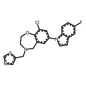 Fc1ccc2c(ccn2-c2cc(Cl)c3c(c2)CN(Cc2cncs2)CCO3)c1